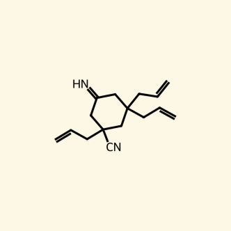 C=CCC1(C#N)CC(=N)CC(CC=C)(CC=C)C1